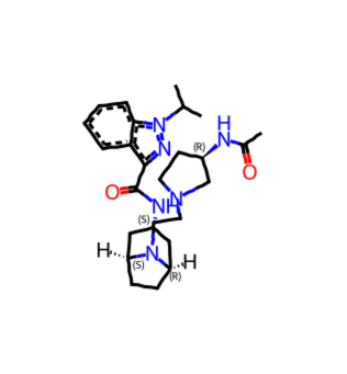 CC(=O)N[C@@H]1CCN(CCN2[C@@H]3CC[C@H]2C[C@H](NC(=O)c2nn(C(C)C)c4ccccc24)C3)C1